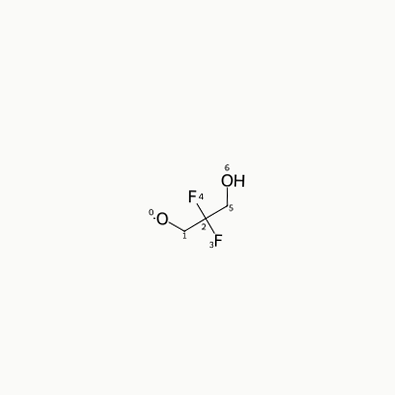 [O]CC(F)(F)CO